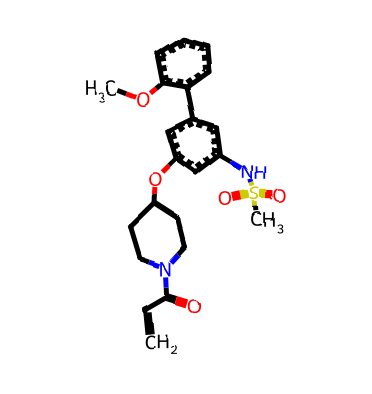 C=CC(=O)N1CCC(Oc2cc(NS(C)(=O)=O)cc(-c3ccccc3OC)c2)CC1